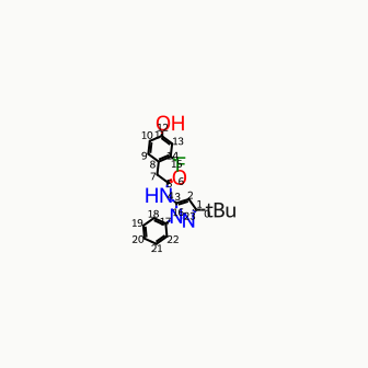 CC(C)(C)c1cc(NC(=O)Cc2ccc(O)cc2F)n(-c2ccccc2)n1